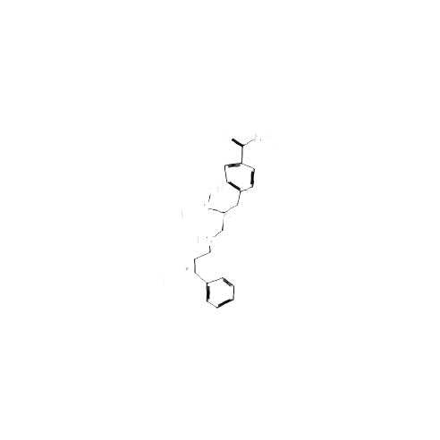 C[C@H](CCNC[C@H](Cc1ccc(C(N)=O)cc1)N(C)C)c1ccccc1